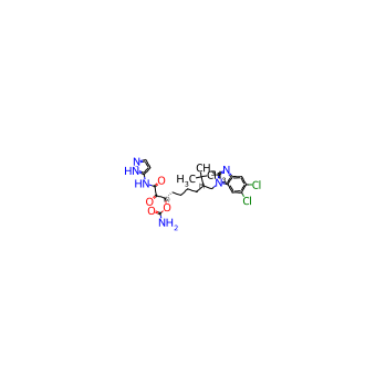 CC(C)(C)[C@H](CCCC[C@H](OC(N)=O)C(=O)C(=O)Nc1ccn[nH]1)Cn1cnc2cc(Cl)c(Cl)cc21